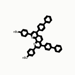 CCCCc1ccc(-c2cc(-c3ccc(-c4ccccc4)cc3)c3ccc4c(-c5ccc(-c6ccccc6)cc5)cc(-c5ccc(CCCC)cc5)nc4c3n2)cc1